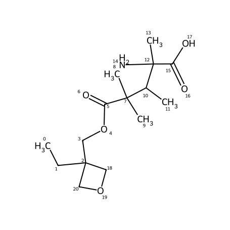 CCC1(COC(=O)C(C)(C)C(C)C(C)(N)C(=O)O)COC1